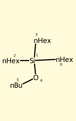 CCCCCC[Si](CCCCCC)(CCCCCC)OCCCC